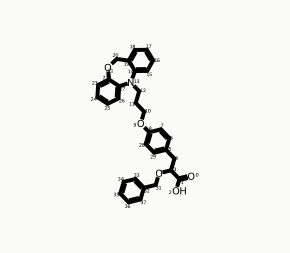 O=C(O)C(Cc1ccc(OCCCN2c3ccccc3COc3ccccc32)cc1)OCc1ccccc1